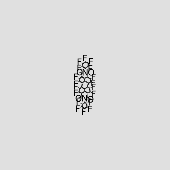 O=C1c2c(F)c(F)c3c4c(F)c(F)c5c6c(c(F)c(F)c(c7c(F)c(F)c(c2c37)C(=O)N1c1c(F)c(F)c(F)c(F)c1F)c64)C(=O)N(c1c(F)c(F)c(F)c(F)c1F)C5=O